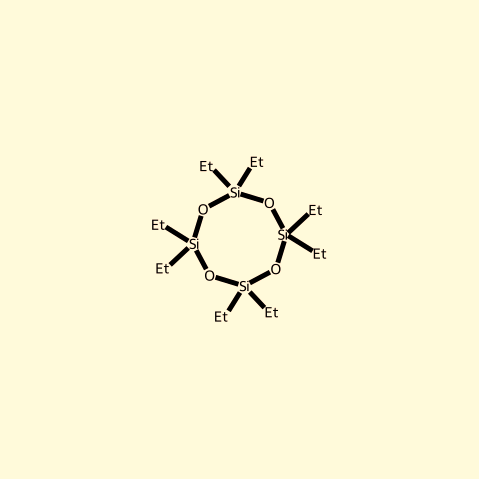 CC[Si]1(CC)O[Si](CC)(CC)O[Si](CC)(CC)O[Si](CC)(CC)O1